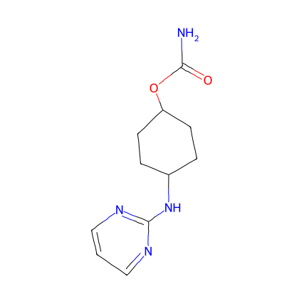 NC(=O)OC1CCC(Nc2ncccn2)CC1